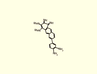 CNC1=C(NC)c2cc3cc(-c4ccc(N)c(N)c4)ccc3cc2C(=N)C1=N